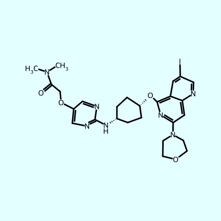 CN(C)C(=O)COc1cnc(N[C@H]2CC[C@@H](Oc3nc(N4CCOCC4)cc4ncc(I)cc34)CC2)nc1